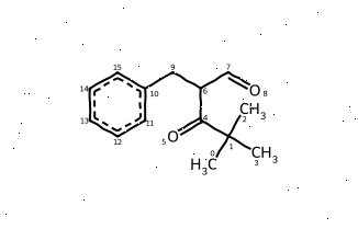 CC(C)(C)C(=O)C(C=O)Cc1ccccc1